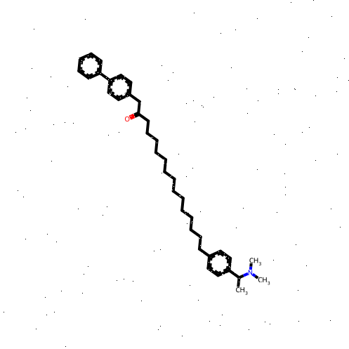 CC(c1ccc(CCCCCCCCCCCCCCC(=O)Cc2ccc(-c3ccccc3)cc2)cc1)N(C)C